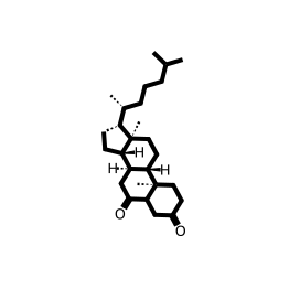 CC(C)CCC[C@@H](C)[C@H]1CC[C@H]2[C@@H]3CC(=O)C4CC(=O)CC[C@]4(C)[C@H]3CC[C@]12C